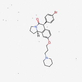 O=C1[C@@H](c2ccc(Br)cc2)c2ccc(OCCCN3CCCCC3)cc2[C@@H]2CCCN12